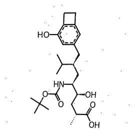 CC(C)[C@@H](Cc1cc(O)c2c(c1)CC2)C[C@H](NC(=O)OC(C)(C)C)[C@@H](O)C[C@@H](C)C(=O)O